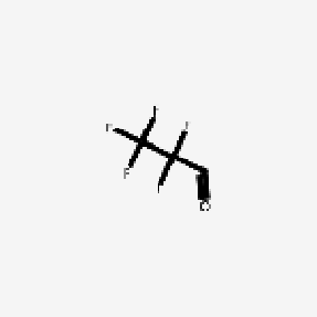 O=CC(F)(I)C(F)(F)F